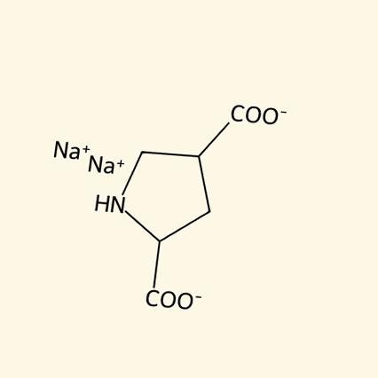 O=C([O-])C1CNC(C(=O)[O-])C1.[Na+].[Na+]